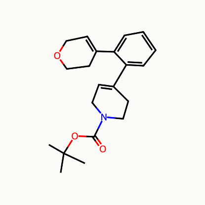 CC(C)(C)OC(=O)N1CC=C(c2ccccc2C2=CCOCC2)CC1